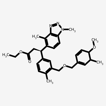 CCOC(=O)C[C@H](c1ccc(C)c(COCC2=CC(C)C(OC)C=C2)c1)c1ccc2c(nnn2C)c1C